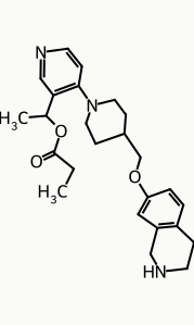 CCC(=O)OC(C)c1cnccc1N1CCC(COc2ccc3c(c2)CNCC3)CC1